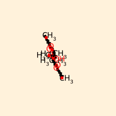 CCCCCCCCOC(=O)CCCC(C)(C)c1cc(OCC)c(C(C)(C)CCCC(=O)OCCCCCCCC)cc1O